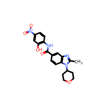 Cc1nc2cc(C(=O)Nc3ccc([N+](=O)[O-])cc3O)ccc2n1C1CCOCC1